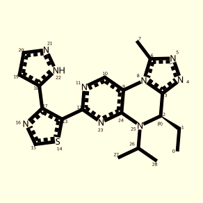 CC[C@@H]1c2nnc(C)n2-c2cnc(-c3scnc3-c3ccn[nH]3)nc2N1C(C)C